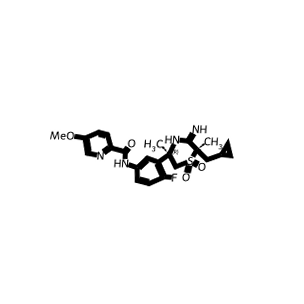 COc1ccc(C(=O)Nc2ccc(F)c([C@]3(C)CS(=O)(=O)[C@](C)(CC4CC4)C(=N)N3)c2)nc1